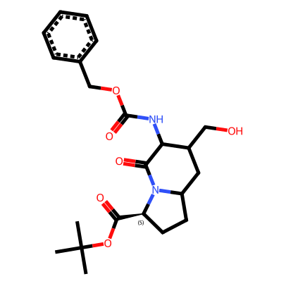 CC(C)(C)OC(=O)[C@@H]1CCC2CC(CO)C(NC(=O)OCc3ccccc3)C(=O)N21